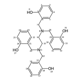 Oc1ccccc1CN(CCN(Cc1ccccc1O)Cc1ccccc1O)Cc1ccccc1O